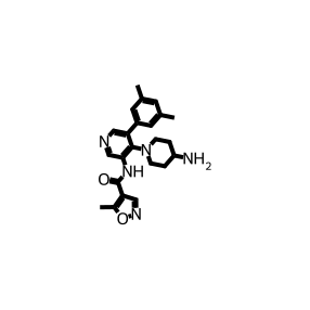 Cc1cc(C)cc(-c2cncc(NC(=O)c3cnoc3C)c2N2CCC(N)CC2)c1